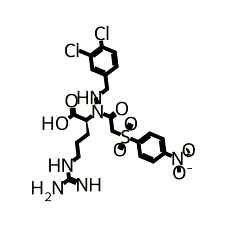 N=C(N)NCCC[C@@H](C(=O)O)N(NCc1ccc(Cl)c(Cl)c1)C(=O)CS(=O)(=O)c1ccc([N+](=O)[O-])cc1